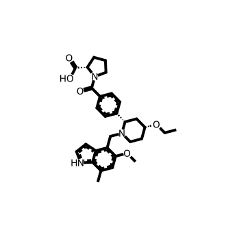 CCO[C@@H]1CCN(Cc2c(OC)cc(C)c3[nH]ccc23)[C@H](c2ccc(C(=O)N3CCC[C@H]3C(=O)O)cc2)C1